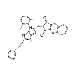 Cc1cccc(C)c1-n1c(C=C2C(=O)c3cc4ccccc4cc3C2=O)cc2sc(C#Cc3ccccc3)nc21